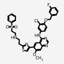 COc1cc2ncnc(Nc3ccc(OCc4cccc(F)c4)c(Cl)c3)c2cc1-c1csc(CCNCCS(=O)(=O)c2ccccc2)n1